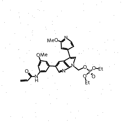 C=CC(=O)Nc1cc(OC)cc(-c2cnc3c(c2)c(-c2ccnc(OC)c2)cn3COP(=O)(OCC)OCC)c1